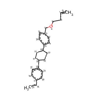 C=CCCOCc1ccc(C2CCC(c3ccc(C=C)cc3)CC2)cc1